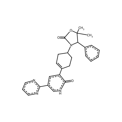 CC1(C)OC(=O)N(C2CC=C(c3cc(-c4ncccn4)c[nH]c3=O)CC2)C1c1ccccc1